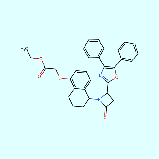 CCOC(=O)COc1cccc2c1CCCC2N1C(=O)CC1c1nc(-c2ccccc2)c(-c2ccccc2)o1